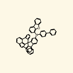 c1ccc(-c2ccc(N(c3ccc4c(c3)C3(c5ccccc5-4)c4ccccc4-c4cccc5ccc(-c6ccccc6)c3c45)c3cccc4c3oc3ccccc34)cc2)cc1